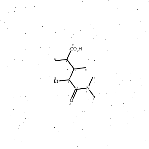 CCC(C(=O)N(C)C)C(C)C(C)C(=O)O